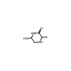 CC1NCC(O)NC1=O